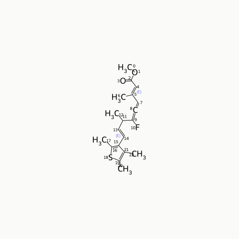 COC(=O)/C=C(\C)C=C=C(F)C(C)/C=C/c1c(C)sc(C)c1C